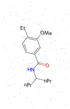 CCCC(CCC)NC(=O)c1ccc(CC)c(OC)c1